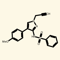 C#CCn1cc(-c2ccc(OC)cc2)c(NS(=O)(=O)c2ccccc2)n1